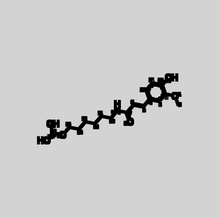 COc1cc(/C=C/C(=O)NCCCCCCON(O)O)ccc1O